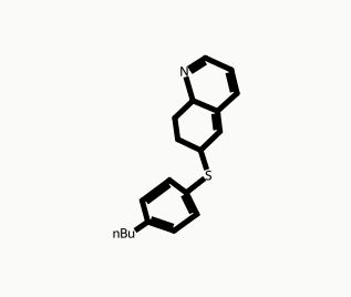 CCCCc1ccc(SC2C=C3C=CC=NC3CC2)cc1